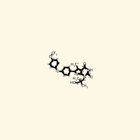 Cc1c(-c2ccc(Oc3ccc(OC(F)(F)F)cc3)cc2)sc2c1c(=O)[nH]c(=O)n2CC(C)(C)CO